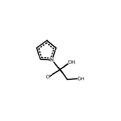 OCC(O)(Cl)n1cccc1